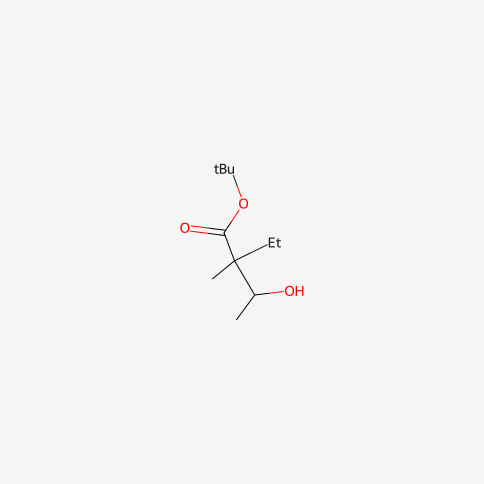 CCC(C)(C(=O)OC(C)(C)C)C(C)O